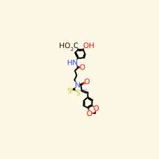 O=C(CCCN1C(=O)/C(=C/c2ccc3c(c2)OCO3)SC1=S)Nc1ccc(O)c(C(=O)O)c1